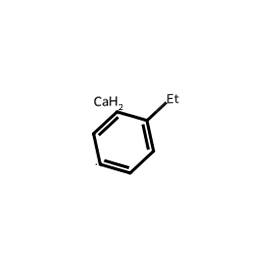 CCc1cc[c]cc1.[CaH2]